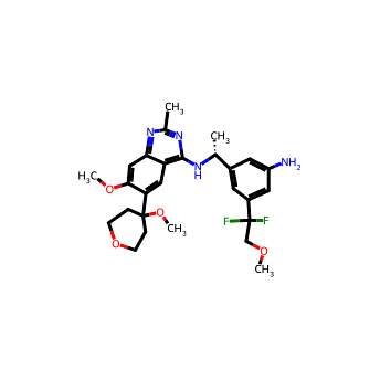 COCC(F)(F)c1cc(N)cc([C@@H](C)Nc2nc(C)nc3cc(OC)c(C4(OC)CCOCC4)cc23)c1